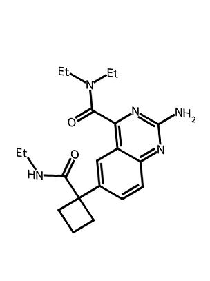 CCNC(=O)C1(c2ccc3nc(N)nc(C(=O)N(CC)CC)c3c2)CCC1